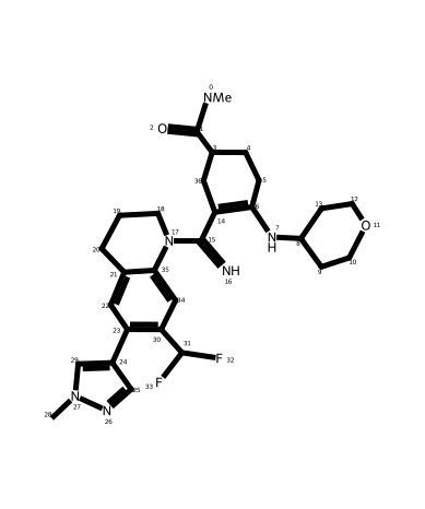 CNC(=O)C1CCC(NC2CCOCC2)=C(C(=N)N2CCCc3cc(-c4cnn(C)c4)c(C(F)F)cc32)C1